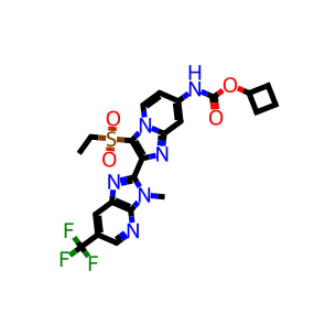 CCS(=O)(=O)c1c(-c2nc3cc(C(F)(F)F)cnc3n2C)nc2cc(NC(=O)OC3CCC3)ccn12